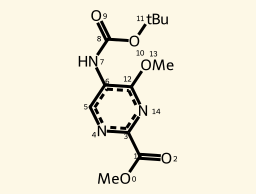 COC(=O)c1ncc(NC(=O)OC(C)(C)C)c(OC)n1